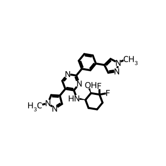 Cn1cc(-c2cccc(-c3ncc(-c4cnn(C)c4)c(N[C@@H]4CCCC(F)(F)[C@@H]4O)n3)c2)cn1